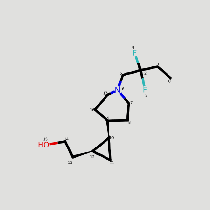 CCC(F)(F)CN1CCC([C@H]2C[C@H]2CCO)CC1